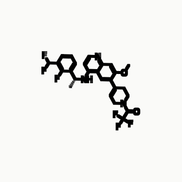 COc1cc2nccc(N[C@H](C)c3cccc(C(F)F)c3F)c2cc1C1=CCN(C(=O)C(F)(F)F)CC1